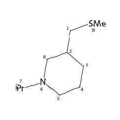 CSCC1CCCN(C(C)C)C1